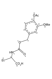 CCC(NC(=O)OCc1ccc(OC(C)=O)c(OC)c1)C(=O)O